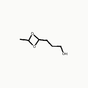 CC1OC(CCCO)O1